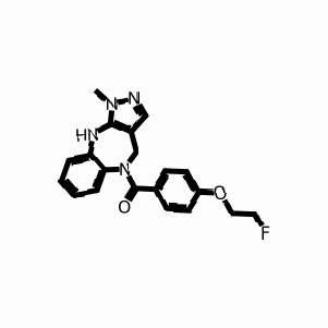 Cn1ncc2c1Nc1ccccc1N(C(=O)c1ccc(OCCF)cc1)C2